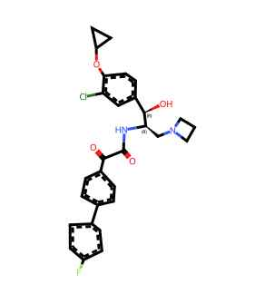 O=C(N[C@H](CN1CCC1)[C@H](O)c1ccc(OC2CC2)c(Cl)c1)C(=O)c1ccc(-c2ccc(F)cc2)cc1